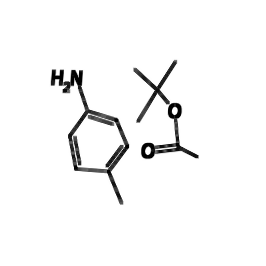 CC(=O)OC(C)(C)C.Cc1ccc(N)cc1